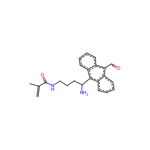 C=C(C)C(=O)NCCCC(N)c1c2ccccc2c(C=O)c2ccccc12